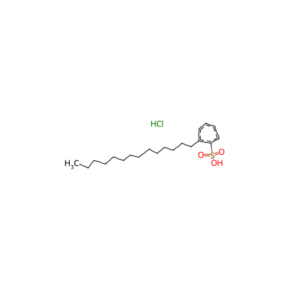 CCCCCCCCCCCCCCc1ccccc1S(=O)(=O)O.Cl